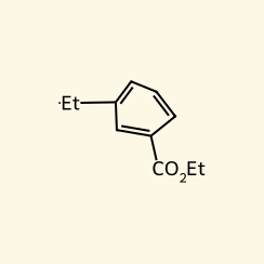 C[CH]c1cccc(C(=O)OCC)c1